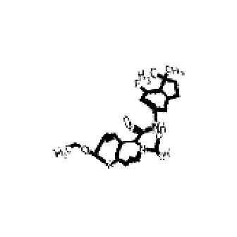 CCOc1ccc2c(n1)CCN(C(=O)O)C2C(=O)Nc1cc(F)c2c(c1)CCC2(C)C